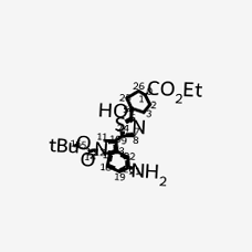 CCOC(=O)[C@H]1CC[C@@](O)(c2ncc(-c3cn(C(=O)OC(C)(C)C)c4ccc(N)cc34)s2)CC1